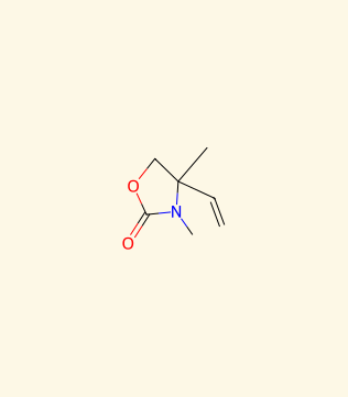 C=CC1(C)COC(=O)N1C